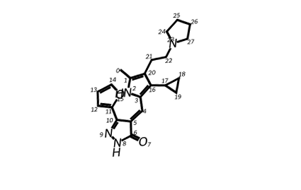 Cc1[nH]c(/C=C2/C(=O)NN=C2c2ccco2)c(C2CC2)c1CCN1CCCC1